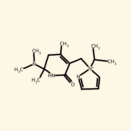 CC1=C(C[N+]2(C(C)C)C=CC=N2)C(=O)NC(C)(N(C)C)C1